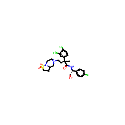 CC(CCN1CCN2C(CCS2(=O)=O)C1)(C(=O)N[C@@H](CO)c1ccc(Cl)cc1)c1ccc(Cl)c(Cl)c1